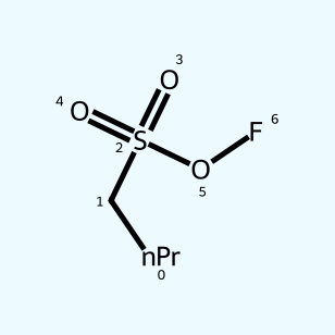 CCCCS(=O)(=O)OF